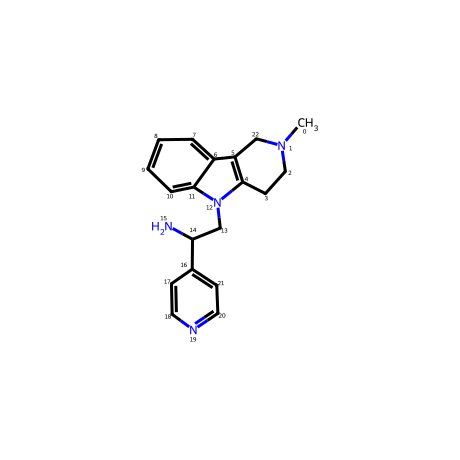 CN1CCc2c(c3ccccc3n2CC(N)c2ccncc2)C1